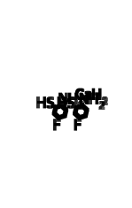 Nc1ccc(F)cc1S.Nc1ccc(F)cc1S.[CaH2]